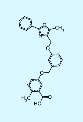 Cc1ncc(OCc2cccc(OCc3nc(-c4ccccc4)oc3C)c2)cc1C(=O)O